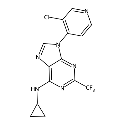 FC(F)(F)c1nc(NC2CC2)c2ncn(-c3ccncc3Cl)c2n1